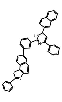 C1=C(c2ccccc2)N=C(c2cccc(-c3ccc4c(ccc5nc(-c6ccccc6)sc54)c3)c2)NC1c1ccc2ccccc2c1